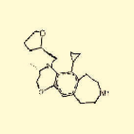 C[C@H]1COc2cc3c(c(C4CC4)c2N1C[C@H]1CCCO1)CCNCC3